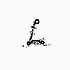 CN1/C(=C/C=C/C=C/C2=[N+](CCCCCC(=O)NCCNC(=O)OCC3C4CC/C=C\CC[C@@H]43)c3ccc(S(=O)(=O)O)cc3C2(C)C)C(C)(C)c2cc(S(=O)(=O)O)ccc21